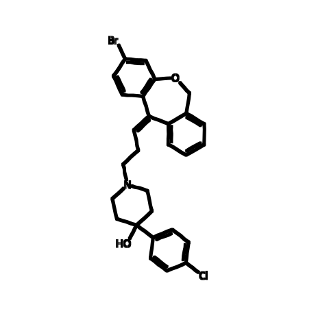 OC1(c2ccc(Cl)cc2)CCN(CC/C=C2\c3ccccc3COc3cc(Br)ccc32)CC1